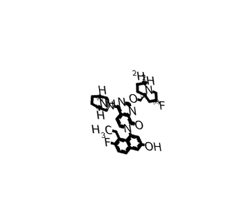 [2H]C1([2H])CC[C@@]2(COc3nc(N4C[C@H]5CC[C@@H](C4)N5)c4ccn(-c5cc(O)cc6ccc(F)c(CC)c56)c(=O)c4n3)C[C@@H](F)CN12